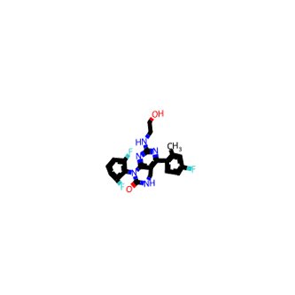 Cc1cc(F)ccc1-c1nc(NCCO)nc2c1CNC(=O)N2c1c(F)cccc1F